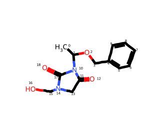 CC(OCc1ccccc1)N1C(=O)CN(CO)C1=O